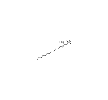 CCCCCCCCCCCC[P-]C(O)C[N+](C)(C)C